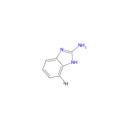 [2H]c1cccc2nc(N)[nH]c12